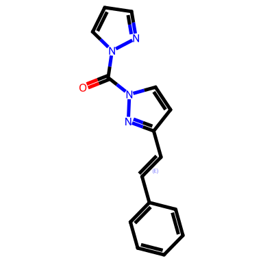 O=C(n1cccn1)n1ccc(/C=C/c2ccccc2)n1